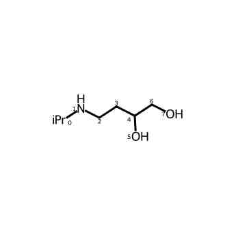 CC(C)NCCC(O)CO